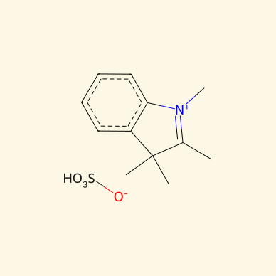 CC1=[N+](C)c2ccccc2C1(C)C.O=S(=O)([O-])O